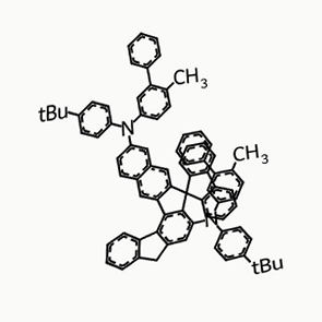 Cc1ccc(N(c2ccc(C(C)(C)C)cc2)c2ccc3cc4c(cc3c2)C2(c3ccccc3-c3ccccc32)c2c(N(c3ccc(C(C)(C)C)cc3)c3ccc(C)c(-c5ccccc5)c3)cc3c(c2-4)-c2ccccc2C3)cc1-c1ccccc1